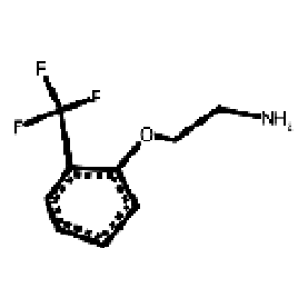 NCCOc1ccccc1C(F)(F)F